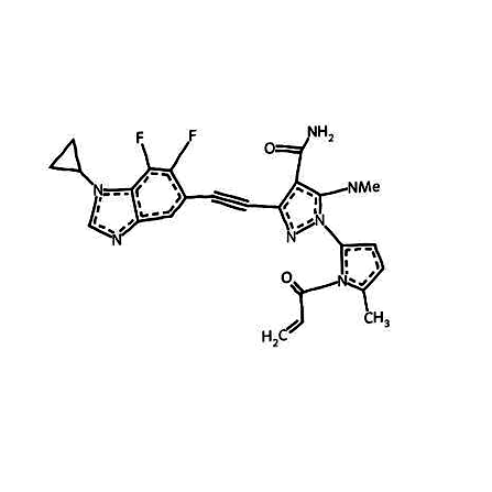 C=CC(=O)n1c(C)ccc1-n1nc(C#Cc2cc3ncn(C4CC4)c3c(F)c2F)c(C(N)=O)c1NC